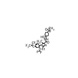 CCc1nc(C(=O)NCC2(O)CCC(S(C)(=O)=O)CC2)c(C)n1-c1ncc(CC(C(F)(F)F)C(F)(F)F)cc1OC(F)F